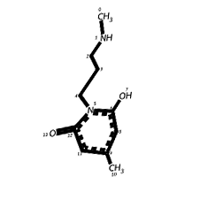 CNCCCn1c(O)cc(C)cc1=O